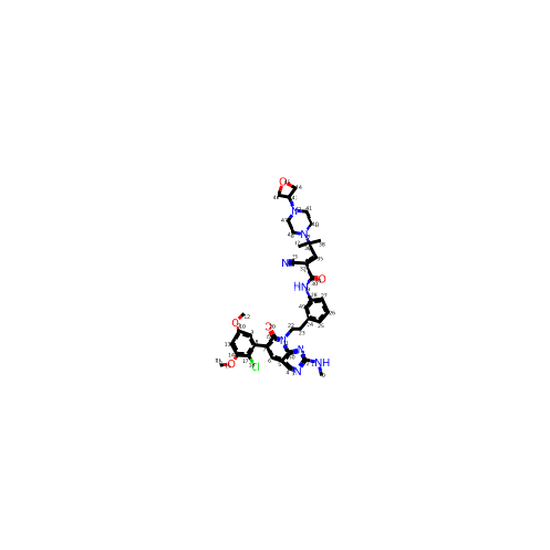 CNc1ncc2cc(-c3cc(OC)cc(OC)c3Cl)c(=O)n(CCc3cccc(NC(=O)C(C#N)=CC(C)(C)N4CCN(C5COC5)CC4)c3)c2n1